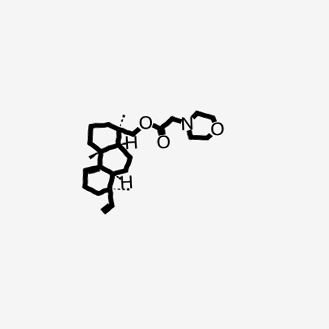 C=C[C@@]1(C)CCC=C2[C@H]1CC[C@@H]1[C@](C)(COC(=O)CN3CCOCC3)CCC[C@@]21C